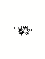 Cc1nccn1C.N[SH](=O)=O